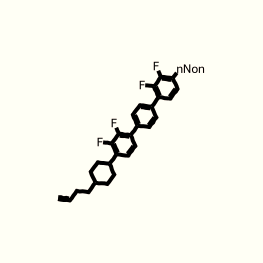 C=CCCC1CCC(c2ccc(-c3ccc(-c4ccc(CCCCCCCCC)c(F)c4F)cc3)c(F)c2F)CC1